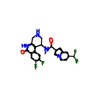 CN(C(=O)c1cc2cc(C(F)F)ccn2c1)C1CNCc2[nH]c(=O)c3cc(F)c(F)cc3c21